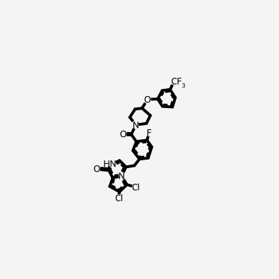 O=C(c1cc(Cc2c[nH]c(=O)c3cc(Cl)c(Cl)n23)ccc1F)N1CCC(Oc2cccc(C(F)(F)F)c2)CC1